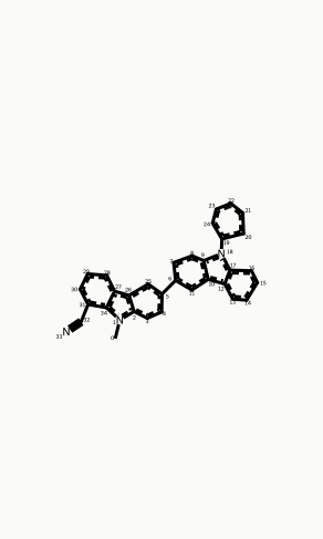 Cn1c2ccc(-c3ccc4c(c3)c3ccccc3n4-c3ccccc3)cc2c2cccc(C#N)c21